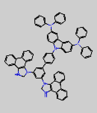 c1ccc(N(c2ccccc2)c2ccc3c(c2)c2cc(N(c4ccccc4)c4ccccc4)ccc2n3-c2ccc(-c3cc(N4CNc5c4c4ccccc4c4ccccc54)cc(N4CNc5c4c4ccccc4c4ccccc54)c3)cc2)cc1